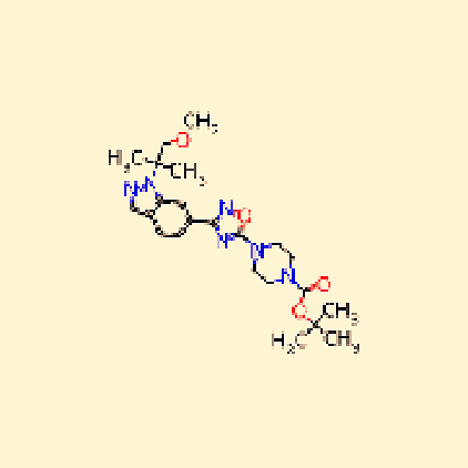 COCC(C)(C)n1ncc2ccc(-c3noc(N4CCN(C(=O)OC(C)(C)C)CC4)n3)cc21